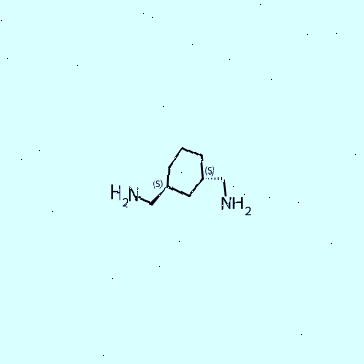 NC[C@H]1CCC[C@H](CN)C1